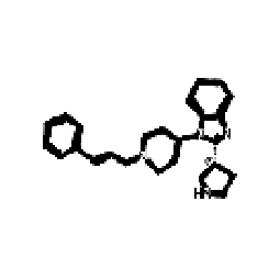 C(=Cc1ccccc1)CN1CCC(n2c([C@@H]3CCNC3)nc3ccccc32)CC1